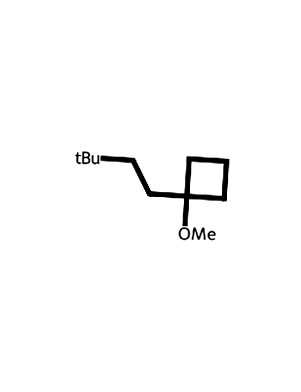 COC1(CCC(C)(C)C)CCC1